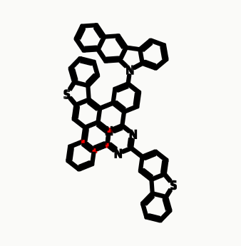 c1ccc(-c2nc(-c3ccc4sc5ccccc5c4c3)nc(-c3ccc(-n4c5ccccc5c5cc6ccccc6cc54)cc3-c3c4ccccc4cc4sc5ccccc5c34)n2)cc1